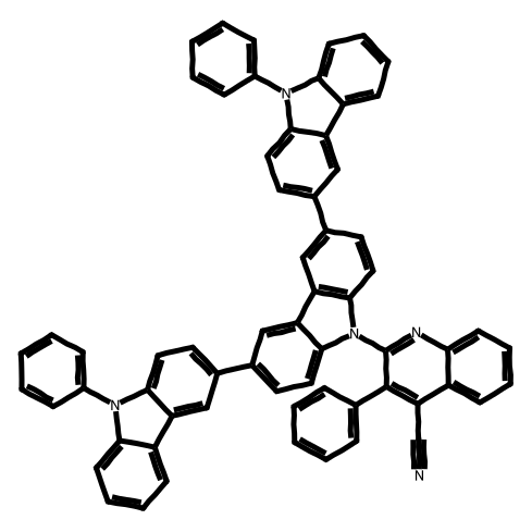 N#Cc1c(-c2ccccc2)c(-n2c3ccc(-c4ccc5c(c4)c4ccccc4n5-c4ccccc4)cc3c3cc(-c4ccc5c(c4)c4ccccc4n5-c4ccccc4)ccc32)nc2ccccc12